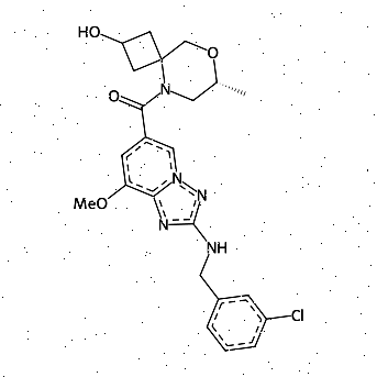 COc1cc(C(=O)N2C[C@@H](C)OCC23CC(O)C3)cn2nc(NCc3cccc(Cl)c3)nc12